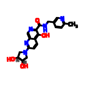 Cc1ccc(CNC(=O)c2ncc3nc(N4C[C@@H](O)[C@@H](O)C4)ccc3c2O)cn1